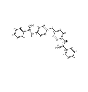 N=C(Nc1ccc(Cc2ccc(NC(=N)c3ccccc3)cc2)cc1)c1ccccc1